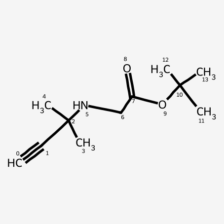 C#CC(C)(C)NCC(=O)OC(C)(C)C